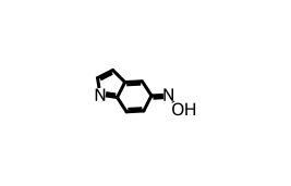 ON=C1C=CC2=NC=CC2=C1